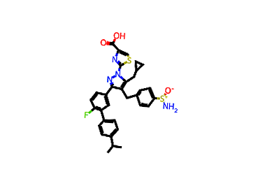 CC(C)c1ccc(-c2cc(-c3nn(-c4nc(C(=O)O)cs4)c(CC4CC4)c3Cc3ccc([S+](N)[O-])cc3)ccc2F)cc1